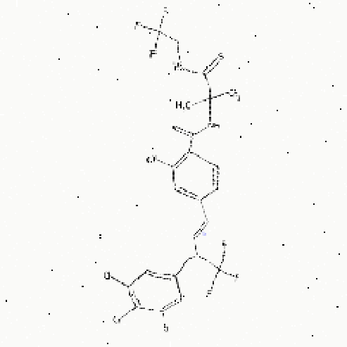 CC(C)(NC(=S)c1ccc(/C=C/C(c2cc(Cl)c(Cl)c(Cl)c2)C(F)(F)F)cc1Cl)C(=S)NCC(F)(F)F